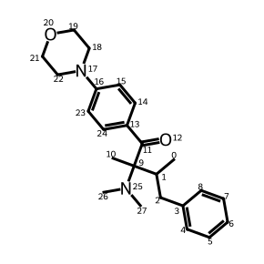 CC(Cc1ccccc1)C(C)(C(=O)c1ccc(N2CCOCC2)cc1)N(C)C